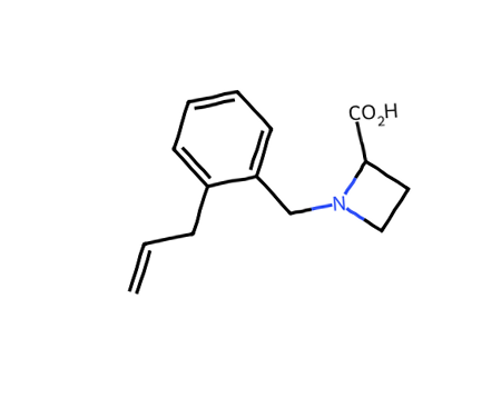 C=CCc1ccccc1CN1CCC1C(=O)O